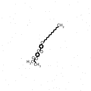 C=CCCCCCCCCCCCCOc1ccc(C(=O)Oc2ccc(OC(=O)C(C)CC)cc2)cc1